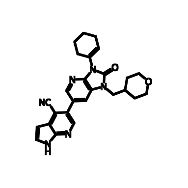 N#Cc1c(-c2cnc3c(c2)n(CC2CCOCC2)c(=O)n3C2=CCCCC2)cnc2[nH]ccc12